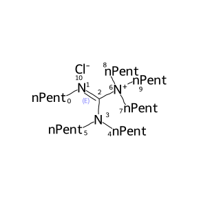 CCCCC/N=C(\N(CCCCC)CCCCC)[N+](CCCCC)(CCCCC)CCCCC.[Cl-]